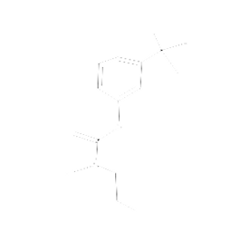 CCCN(C)C(=O)Nc1cccc(C(F)(F)F)c1